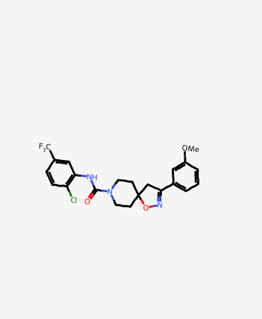 COc1cccc(C2=NOC3(CCN(C(=O)Nc4cc(C(F)(F)F)ccc4Cl)CC3)C2)c1